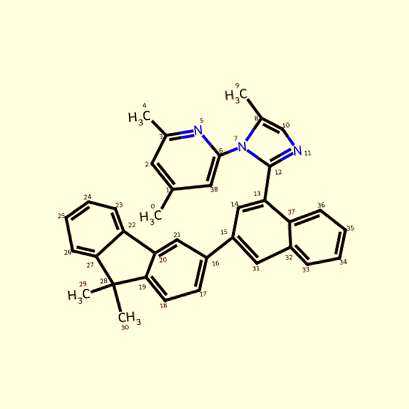 Cc1cc(C)nc(-n2c(C)cnc2-c2cc(-c3ccc4c(c3)-c3ccccc3C4(C)C)cc3ccccc23)c1